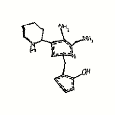 Nc1nc(-c2ccccc2O)cc(C2CCCCN2)c1N